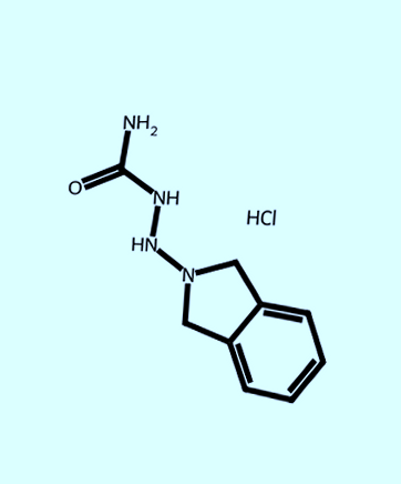 Cl.NC(=O)NNN1Cc2ccccc2C1